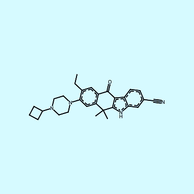 CCc1cc2c(cc1N1CCN(C3CCC3)CC1)C(C)(C)c1[nH]c3cc(C#N)ccc3c1C2=O